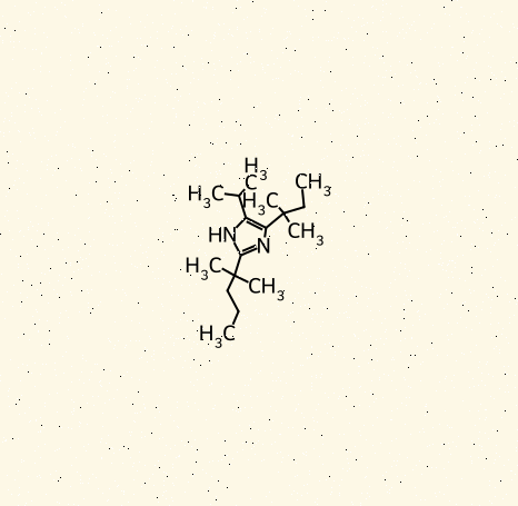 CCCC(C)(C)c1nc(C(C)(C)CC)c(C(C)C)[nH]1